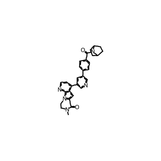 CN1CCn2c(cc3c(-c4cncc(-c5ccc(C(=O)N6C7CCC6CC7)cc5)c4)ccnc32)C1=O